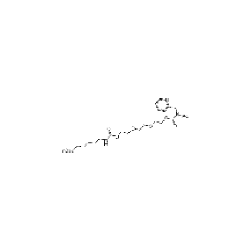 CCCCCCCCCCCCCCCNC(=O)OCCOCCOCCOC(=O)N(Cc1ccccn1)C(C)=O